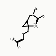 CCCCN(CC1CC1(C)CCC=C(C)C)C(=O)C(C)CC